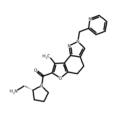 Cc1c(C(=O)N2CCC[C@@H]2CN)oc2c1-c1nn(Cc3ccccn3)cc1CC2